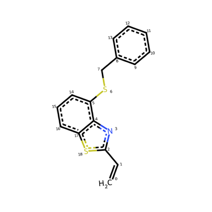 C=Cc1nc2c(SCc3ccccc3)cccc2s1